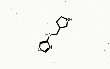 c1nc(NCC2CCNC2)co1